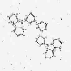 c1cc(-c2cccc(-n3c4ccccc4c4ncccc43)n2)cc(-c2cccc(-n3c4ccccc4c4ncccc43)n2)c1